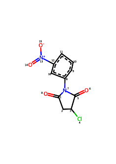 O=C1CC(Cl)C(=O)N1c1cccc([N+](=O)[O-])c1